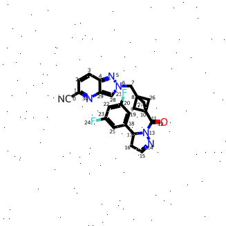 N#Cc1ccc2nn(CC34CC(C(=O)N5N=CCC5c5cc(F)cc(F)c5)(C3)C4)cc2n1